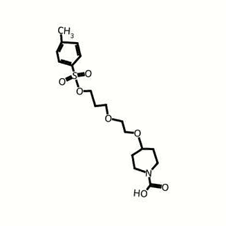 Cc1ccc(S(=O)(=O)OCCCOCCOC2CCN(C(=O)O)CC2)cc1